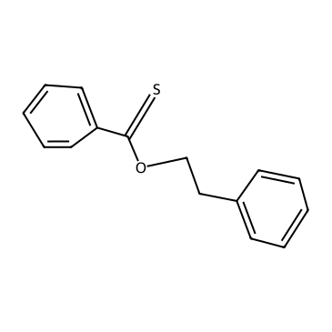 S=C(OCCc1ccccc1)c1ccccc1